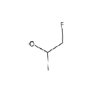 CC([O])CF